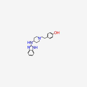 Oc1ccc(CCN2CCC(Nc3nc4ccccc4[nH]3)CC2)cc1